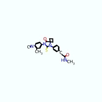 [C-]#[N+]c1ccc(N2C(=O)C3(CCC3)N(c3ccc(CCC(=O)NC)cc3)C2=S)cc1C